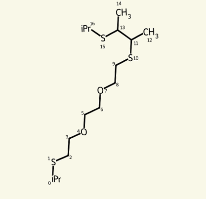 CC(C)SCCOCCOCCSC(C)C(C)SC(C)C